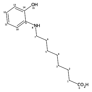 O=C(O)CCCCCCCNc1ccccc1O